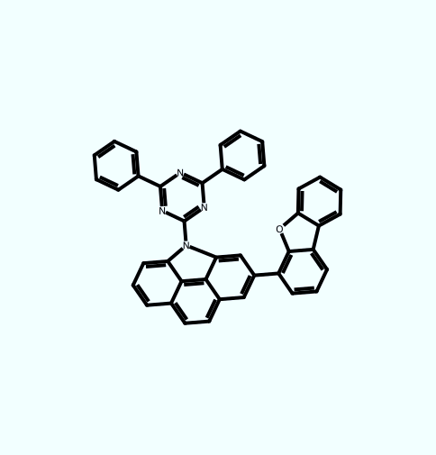 c1ccc(-c2nc(-c3ccccc3)nc(-n3c4cccc5ccc6cc(-c7cccc8c7oc7ccccc78)cc3c6c54)n2)cc1